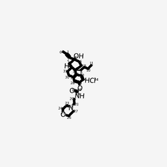 CC#C[C@@]1(O)CC[C@]2(CCCC)c3ccc(OC(=O)NCCN4CCOCC4)cc3CC[C@H]2C1.Cl